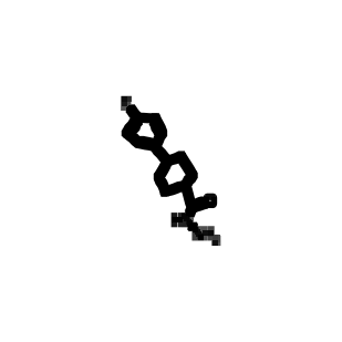 NNC(=O)C1CCC(c2ccc(F)cc2)CC1